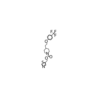 O=C(OCc1cncs1)N1CCC(CCOc2ccc(C(F)(F)F)cc2)CC1